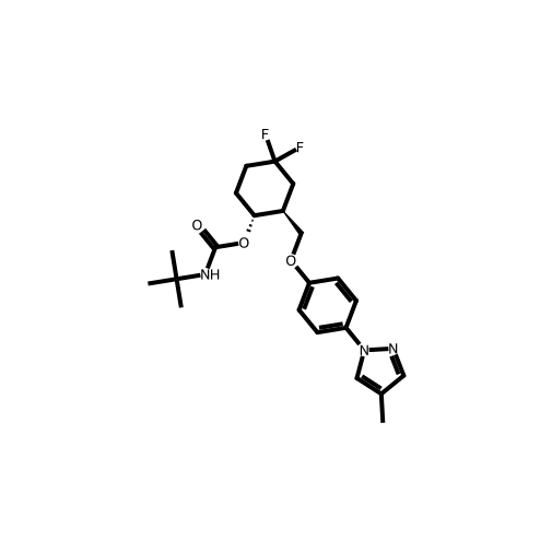 Cc1cnn(-c2ccc(OC[C@@H]3CC(F)(F)CC[C@H]3OC(=O)NC(C)(C)C)cc2)c1